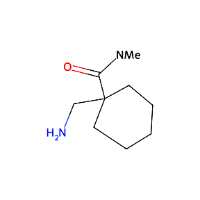 CNC(=O)C1(CN)CCCCC1